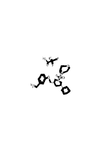 NCc1cccc(OC[C@H]2C[C@@H](c3ccccc3)CN(S(=O)(=O)N3CCOCC3)C2)c1.O=C(O)C(F)(F)F